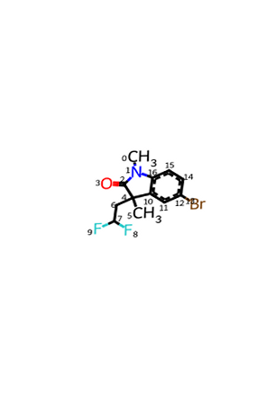 CN1C(=O)C(C)(CC(F)F)c2cc(Br)ccc21